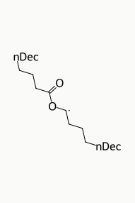 CCCCCCCCCCCCC[CH]OC(=O)CCCCCCCCCCCCC